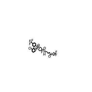 O=C(/C=C/CNC(=O)C1(F)CCN(S(=O)(=O)c2ccc(C(F)(F)F)cc2-c2ccccc2Cl)CC1)N1CC(F)(F)C1